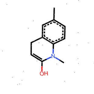 Cc1ccc2c(c1)CC=C(O)N2C